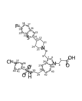 O=C(O)CCn1cc(CCN2CCC(c3cc4ccc(F)cc4s3)CC2)c2cc(CCNS(=O)(=O)c3ccc(Cl)cc3)ccc21